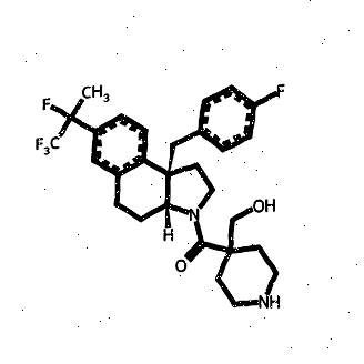 CC(F)(c1ccc2c(c1)CC[C@H]1N(C(=O)C3(CO)CCNCC3)CC[C@@]21Cc1ccc(F)cc1)C(F)(F)F